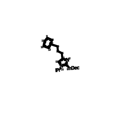 CCCCCCCCCCc1nc(CCCc2ccccc2)cn1C(C)C